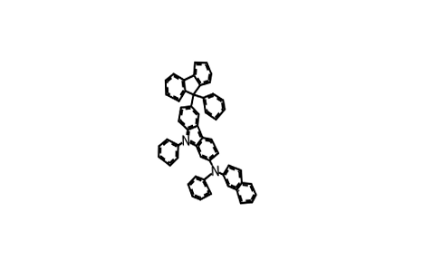 c1ccc(N(c2ccc3ccccc3c2)c2ccc3c4cc(C5(c6ccccc6)c6ccccc6-c6ccccc65)ccc4n(-c4ccccc4)c3c2)cc1